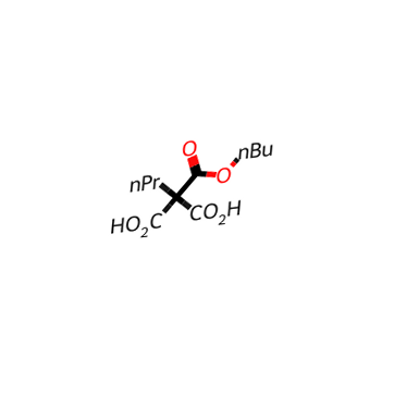 CCCCOC(=O)C(CCC)(C(=O)O)C(=O)O